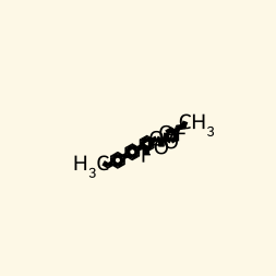 CCCC1(F)COC(C(=O)Oc2ccc(C3CCC(C4CCC(CC)CC4)CC3)c(F)c2)OC1